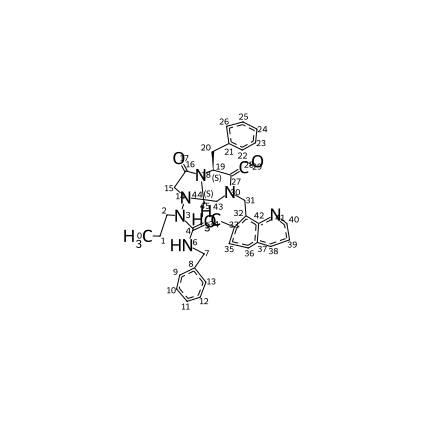 CCCN(C(=O)NCc1ccccc1)N1CC(=O)N2[C@@H](Cc3ccccc3)C(=C=O)N(Cc3c(C)ccc4cccnc34)C[C@@H]21